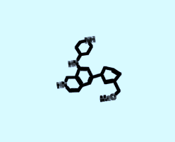 COCC1=CC(c2cc3c(c(NC4CCNCC4)c2)CNC=C3)CC=C1